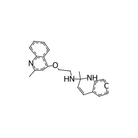 Cc1cc(OCCNC2(C)C=Cc3ccccc3N2)c2ccccc2n1